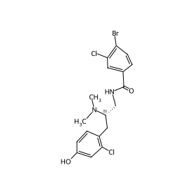 CN(C)[C@H](CNC(=O)c1ccc(Br)c(Cl)c1)Cc1ccc(O)cc1Cl